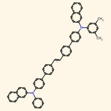 Cc1cc(C)cc(N(c2ccc(-c3ccc(/C=C/c4ccc(-c5ccc(N(c6ccccc6)c6ccc7ccccc7c6)cc5)cc4)cc3)cc2)c2ccc3ccccc3c2)c1